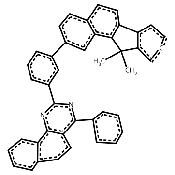 CC1(C)c2ccccc2-c2ccc3ccc(-c4cccc(-c5nc(-c6ccccc6)c6ccc7ccccc7c6n5)c4)cc3c21